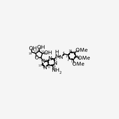 COc1cc(/C=N/Nc2nc(N)c3ncn(C4OC(CO)C(O)C4O)c3n2)cc(OC)c1OC